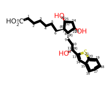 O=C(O)CCCCCC[C@@H]1[C@@H](CC[C@@H](O)c2cc3ccccc3s2)[C@H](O)C[C@@H]1O